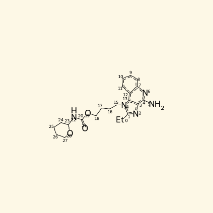 CCc1nc2c(N)nc3ccccc3c2n1CCCCOC(=O)NC1CCCCO1